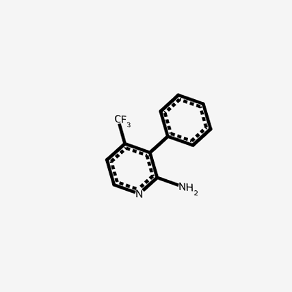 Nc1nccc(C(F)(F)F)c1-c1ccccc1